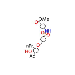 CCCc1c(OCc2ccc(S(=O)(=O)Nc3ccc(C(=O)OC)cc3)cc2)ccc(C(C)=O)c1O